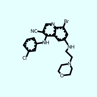 N#Cc1cnc2c(Br)cc(NCCN3CCOCC3)cc2c1Nc1cccc(Cl)c1